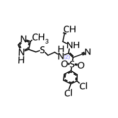 C#CCN/C(NCCSCc1[nH]cnc1C)=C(\C#N)S(=O)(=O)c1ccc(Cl)c(Cl)c1